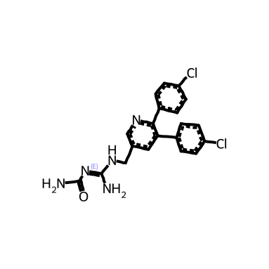 NC(=O)/N=C(\N)NCc1cnc(-c2ccc(Cl)cc2)c(-c2ccc(Cl)cc2)c1